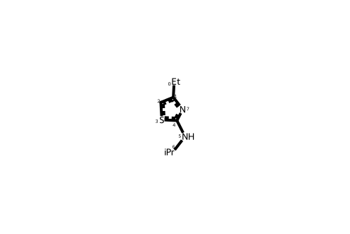 CCc1csc(NC(C)C)n1